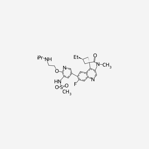 CC[C@H]1C[C@]2(C1)C(=O)N(C)c1cnc3cc(F)c(-c4cnc(OCCNC(C)C)c(NS(C)(=O)=O)c4)cc3c12